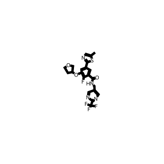 Cc1cnc(-c2cc(OC3CCOC3)c(F)c(C(=O)NCc3cnc(C(F)(F)F)nc3)c2)s1